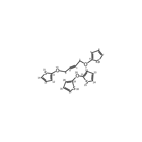 C(#CCOc1cccs1)COc1cccs1.c1csc(Oc2cccs2)c1